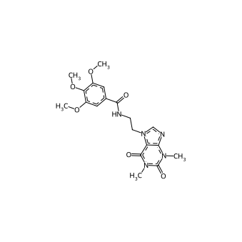 COc1cc(C(=O)NCCn2cnc3c2c(=O)n(C)c(=O)n3C)cc(OC)c1OC